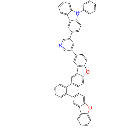 c1ccc(-n2c3ccccc3c3cc(-c4cncc(-c5ccc6oc7ccc(-c8ccccc8-c8ccc9oc%10ccccc%10c9c8)cc7c6c5)c4)ccc32)cc1